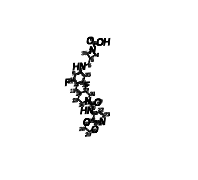 O=C(O)N1CC(CNc2cc(F)c(C=C3CCN(C(=O)Nc4ccnc5c4OCCO5)CC3)c(F)c2)C1